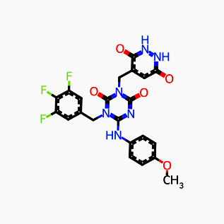 COc1ccc(Nc2nc(=O)n(Cc3cc(=O)[nH][nH]c3=O)c(=O)n2Cc2cc(F)c(F)c(F)c2)cc1